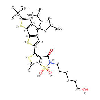 CCCCC(CC)C[Si]1(CC(CC)CCCC)c2cc(-c3sc(C)c4c3C(=O)N(CCCCCCO)S4(=O)=O)sc2-c2sc(C(C)(C)CCC)cc21